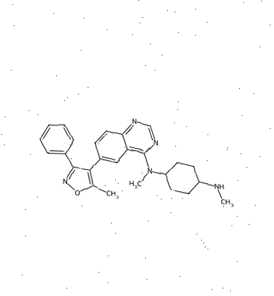 CNC1CCC(N(C)c2ncnc3ccc(-c4c(-c5ccccc5)noc4C)cc23)CC1